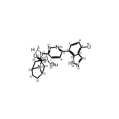 CN(c1ccc(-c2ccc(Cl)c3cn[nH]c23)nn1)C1CC2CCC(C1)N2C(=O)OC(C)(C)C